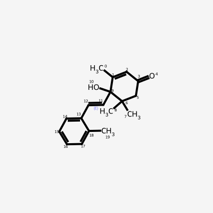 CC1=CC(=O)CC(C)(C)C1(O)/C=C/c1ccccc1C